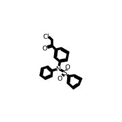 O=C(CCl)c1cccc(N(c2ccccc2)S(=O)(=O)c2ccccc2)c1